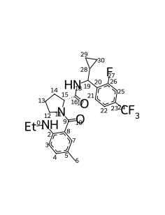 CCNc1ccc(C)cc1C(=O)N1CCC[C@@H]1C(=O)NC(c1ccc(C(F)(F)F)cc1F)C1CC1